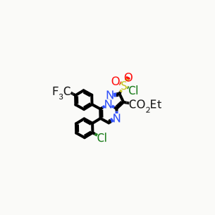 CCOC(=O)c1c(S(=O)(=O)Cl)nn2c(-c3ccc(C(F)(F)F)cc3)c(-c3ccccc3Cl)cnc12